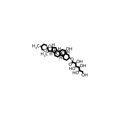 C[C@@H]1CC[C@@]2(OC1)O[C@H]1C[C@H]3[C@@H]4C[C@H](O)[C@H]5C[C@@H](OC(=O)[C@H](O)[C@@H](O)[C@H](O)[C@H](O)CO)CC[C@]5(C)[C@H]4CC[C@]3(C)[C@H]1[C@@H]2C